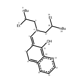 CCCCC(CC)CN(C=C1CC=c2cccnc2=C1O)CC(CC)CCCC